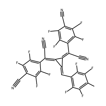 Cc1c(F)c(F)c(/C=C2/C(=C(C#N)c3c(F)c(F)c(C#N)c(F)c3F)/C2=C(/C#N)c2c(F)c(F)c(C#N)c(F)c2F)c(F)c1F